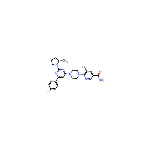 CC1CCCN1c1nc(-c2ccc(F)cc2)cc(N2CCN(c3ncc(C(N)=O)cc3Cl)CC2)n1